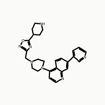 c1cncc(-c2ccc3c(N4CCN(Cc5noc(C6CCNCC6)n5)CC4)ccnc3c2)c1